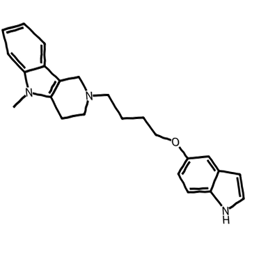 Cn1c2c(c3ccccc31)CN(CCCCOc1ccc3[nH]ccc3c1)CC2